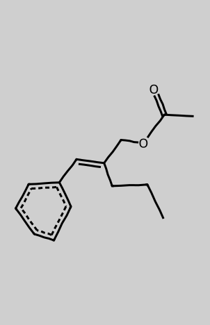 CCC/C(=C\c1ccccc1)COC(C)=O